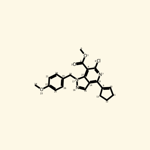 COC(=O)c1c(Cl)nc(C2=CCCC2)c2cnn(Cc3ccc(OC)cc3)c12